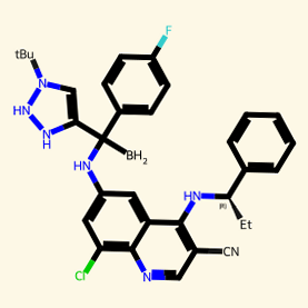 BC(Nc1cc(Cl)c2ncc(C#N)c(N[C@H](CC)c3ccccc3)c2c1)(C1=CN(C(C)(C)C)NN1)c1ccc(F)cc1